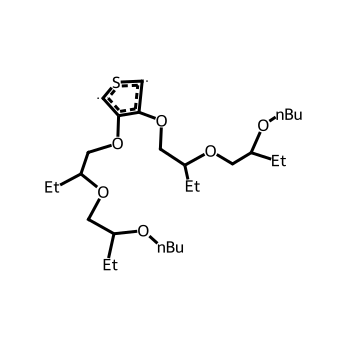 CCCCOC(CC)COC(CC)COc1[c]s[c]c1OCC(CC)OCC(CC)OCCCC